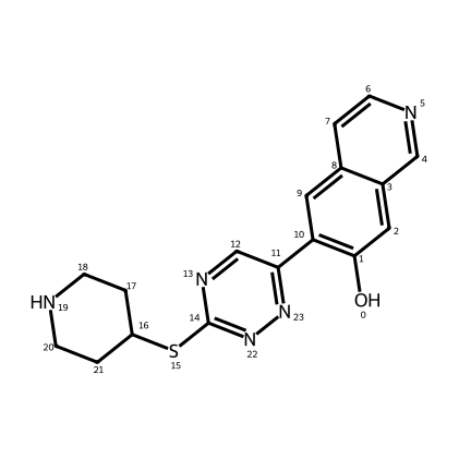 Oc1cc2cnccc2cc1-c1cnc(SC2CCNCC2)nn1